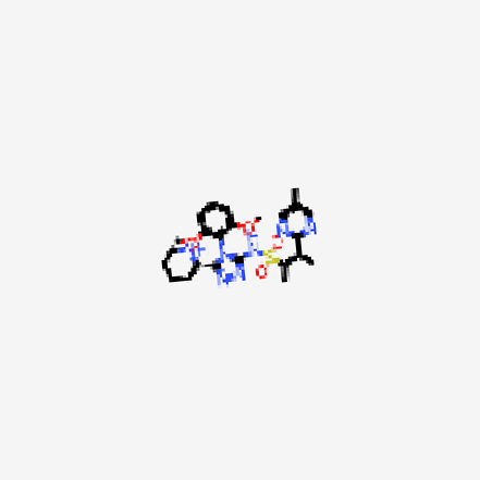 COc1cccc(OC)c1-n1c(NS(=O)(=O)C(C)C(C)c2ncc(C)cn2)nnc1[C@H]1CCCCN1